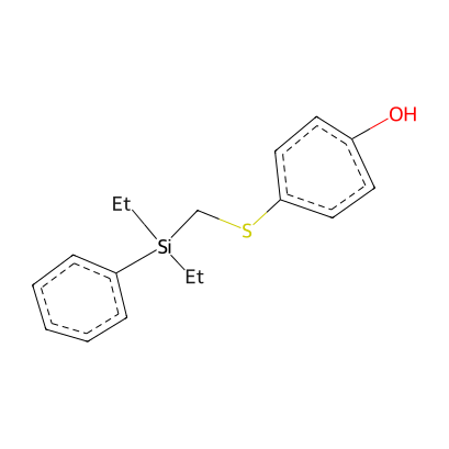 CC[Si](CC)(CSc1ccc(O)cc1)c1ccccc1